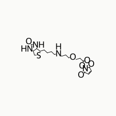 O=C1NC2CSC(CCCCNCCCOCCC(=O)ON3C(=O)C=CC3=O)C2N1